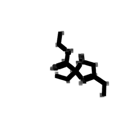 CCOC(=O)C1(CC)N=C(CC)CN1